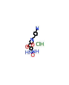 Cl.N#Cc1ccc(CCN2CCC3(CC2)CC(=O)c2cc4[nH]c(=O)[nH]c4cc2O3)cc1